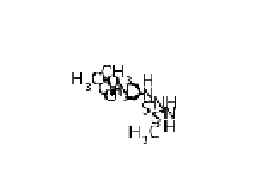 CCSC(=N)NC(=S)NC1CCN(C(=O)OC(C)(C)C)CC1